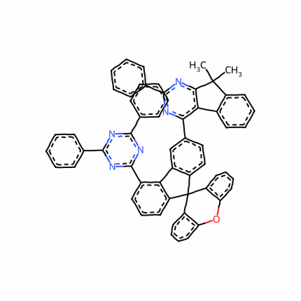 CC1(C)c2ccccc2-c2c(-c3ccc4c(c3)-c3c(-c5nc(-c6ccccc6)nc(-c6ccccc6)n5)cccc3C43c4ccccc4Oc4ccccc43)nc(-c3ccccc3)nc21